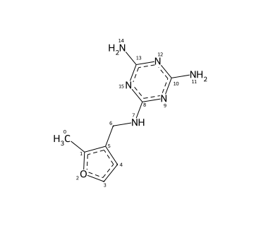 Cc1occc1CNc1nc(N)nc(N)n1